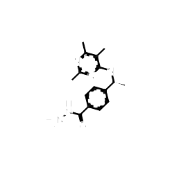 Cc1nc(C)c(C)c(N[C@@H](C)c2ccc(C(=O)NN)cc2)n1